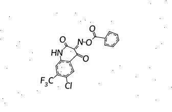 O=C1Nc2cc(C(F)(F)F)c(Cl)cc2C(=O)C1=NOC(=O)c1ccccc1